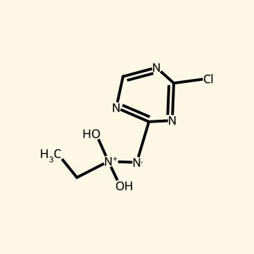 CC[N+](O)(O)[N]c1ncnc(Cl)n1